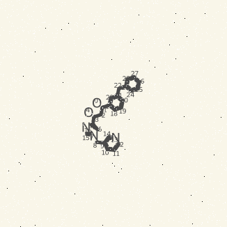 O=C(CC(=O)c1cn(Cc2cccnc2)cn1)c1cccc(Cc2ccccc2)c1